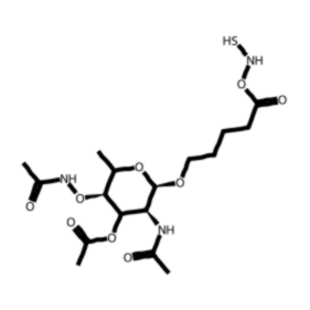 CC(=O)NO[C@H]1C(C)O[C@@H](OCCCCC(=O)ONS)[C@@H](NC(C)=O)C1OC(C)=O